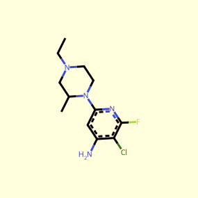 CCN1CCN(c2cc(N)c(Cl)c(F)n2)C(C)C1